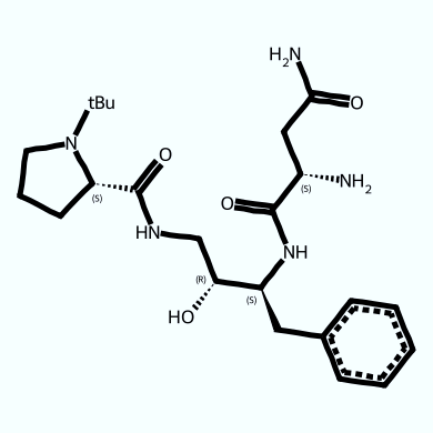 CC(C)(C)N1CCC[C@H]1C(=O)NC[C@@H](O)[C@H](Cc1ccccc1)NC(=O)[C@@H](N)CC(N)=O